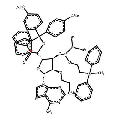 COCCO[C@@H]1[C@H](OP(OCC[Si](C)(c2ccccc2)c2ccccc2)N(C(C)C)C(C)C)[C@@H](C(OC(c2ccccc2)(c2ccc(OC)cc2)c2ccc(OC)cc2)C(=O)c2ccccc2)O[C@H]1n1cnc2c(N)ncnc21